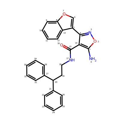 Nc1onc(-c2coc3ccccc23)c1C(=O)NCCC(c1ccccc1)c1ccccc1